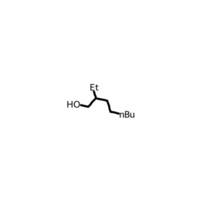 CCCCCCC(CC)CO